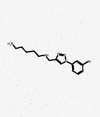 CC(C)c1cccc(-n2cc(CNCCCCCN)nn2)c1